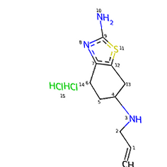 C=CCNC1CCc2nc(N)sc2C1.Cl.Cl